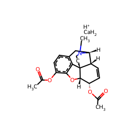 CC(=O)Oc1ccc2c3c1O[C@H]1[C@@H](OC(C)=O)C=C[C@H]4[C@@H](C2)N(C)CC[C@@]341.[CaH2].[H+]